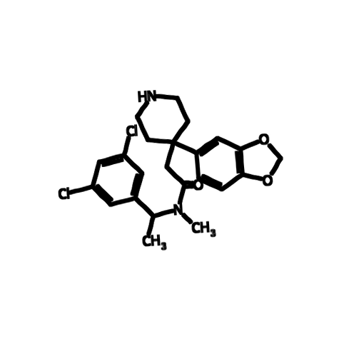 CC(c1cc(Cl)cc(Cl)c1)N(C)C(=O)CC1(c2ccc3c(c2)OCO3)CCNCC1